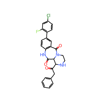 O=C(Cc1ccccc1)C1NCCN2C(=O)c3cc(-c4ccc(Cl)cc4F)ccc3NC(=O)C12